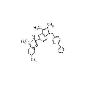 Cc1ccc([C@H](C)NC(=O)c2ccc3c(c2)c(C)c(C)n3Cc2ccc(-c3ccccc3)cc2)nc1